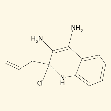 C=CCC1(Cl)Nc2ccccc2C(N)=C1N